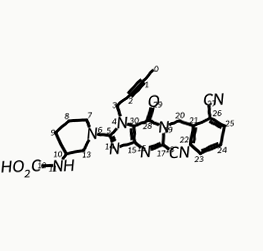 CC#CCn1c(N2CCCC(NC(=O)O)C2)nc2nc(C#N)n(Cc3ccccc3C#N)c(=O)c21